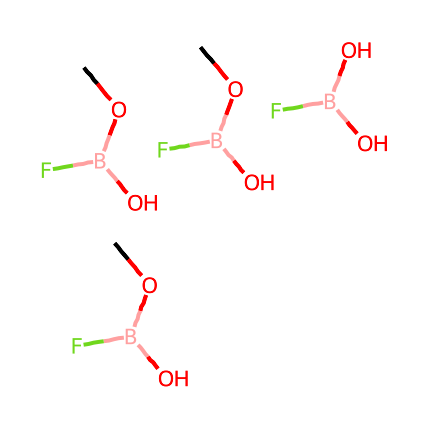 COB(O)F.COB(O)F.COB(O)F.OB(O)F